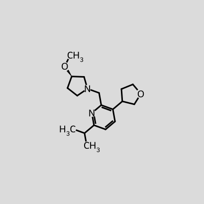 CO[C@@H]1CCN(Cc2nc(C(C)C)ccc2C2CCOC2)C1